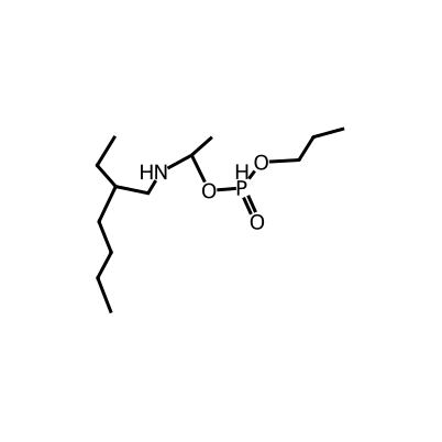 CCCCC(CC)CNC(C)O[PH](=O)OCCC